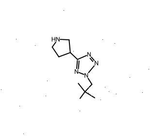 CC(C)(C)Cn1nnc(C2CCNC2)n1